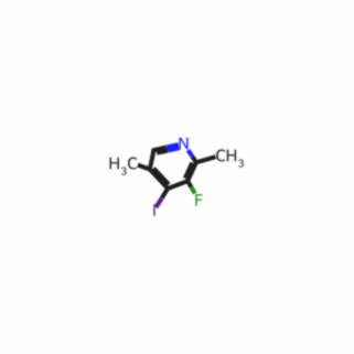 Cc1cnc(C)c(F)c1I